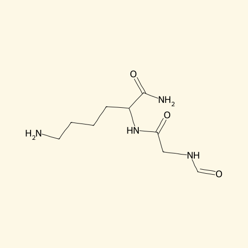 NCCCCC(NC(=O)CNC=O)C(N)=O